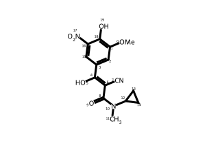 COc1cc(/C(O)=C(\C#N)C(=O)N(C)C2CC2)cc([N+](=O)[O-])c1O